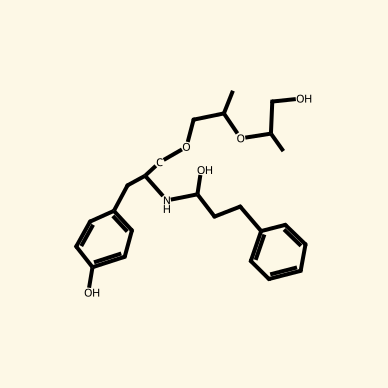 CC(CO)OC(C)COCC(Cc1ccc(O)cc1)NC(O)CCc1ccccc1